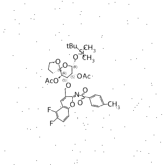 CC(=O)O[C@@H]1[C@H](OCc2cc3c(F)c(F)ccc3oc2=NS(=O)(=O)c2ccc(C)cc2)[C@@H](OC(C)=O)[C@]2(CCCO2)O[C@@H]1CO[Si](C)(C)C(C)(C)C